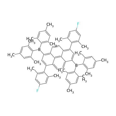 Cc1cc(C)c(B(c2c(C)cc(C)cc2C)c2cc(-c3c(C)cc(F)cc3C)c3ccc4c(B(c5c(C)cc(C)cc5C)c5c(C)cc(C)cc5C)cc(-c5c(C)cc(F)cc5C)c5ccc2c3c45)c(C)c1